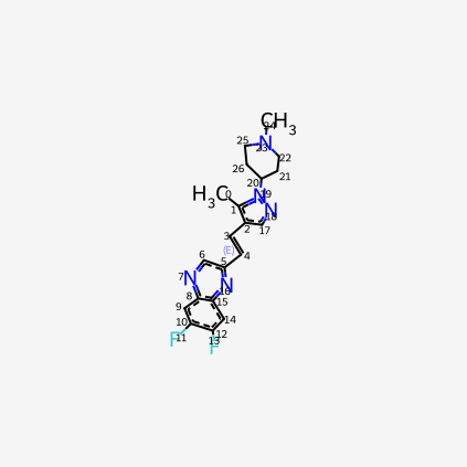 Cc1c(/C=C/c2cnc3cc(F)c(F)cc3n2)cnn1C1CCN(C)CC1